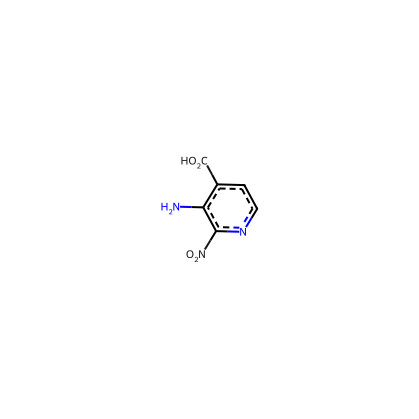 Nc1c(C(=O)O)ccnc1[N+](=O)[O-]